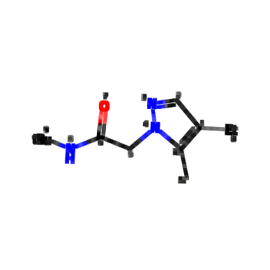 CCc1cnn(CC(=O)NC(C)(C)C)c1C